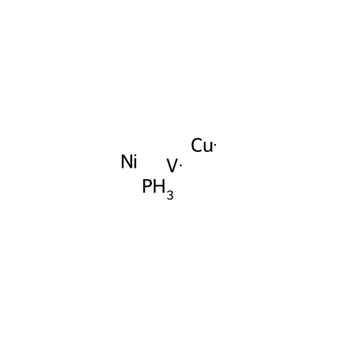 P.[Cu].[Ni].[V]